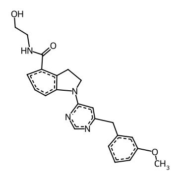 COc1cccc(Cc2cc(N3CCc4c(C(=O)NCCO)cccc43)ncn2)c1